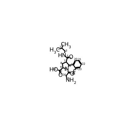 CC(C)CNC(=O)C1CC(C(=O)O)N(C(=O)CN)C1c1ccccc1F